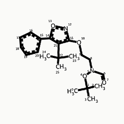 CC(C)(C)ON(C=O)CCOc1noc(-c2ccccc2)c1C(C)(C)C